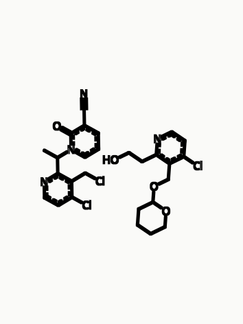 CC(c1nccc(Cl)c1CCl)n1cccc(C#N)c1=O.OCCc1nccc(Cl)c1COC1CCCCO1